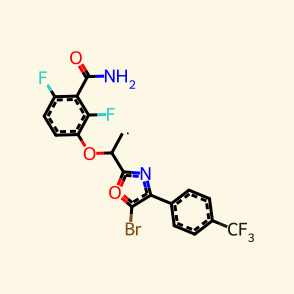 [CH2]C(Oc1ccc(F)c(C(N)=O)c1F)c1nc(-c2ccc(C(F)(F)F)cc2)c(Br)o1